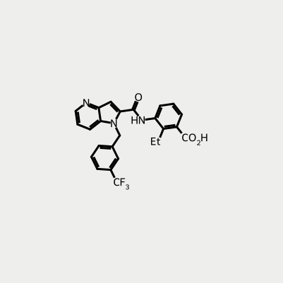 CCc1c(NC(=O)c2cc3ncccc3n2Cc2cccc(C(F)(F)F)c2)cccc1C(=O)O